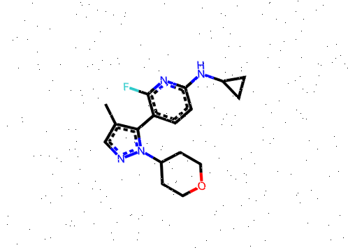 Cc1cnn(C2CCOCC2)c1-c1ccc(NC2CC2)nc1F